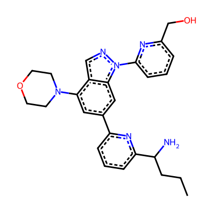 CCCC(N)c1cccc(-c2cc(N3CCOCC3)c3cnn(-c4cccc(CO)n4)c3c2)n1